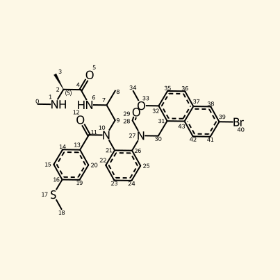 CN[C@@H](C)C(=O)NC(C)CN(C(=O)c1ccc(SC)cc1)c1ccccc1N(C=O)Cc1c(OC)ccc2cc(Br)ccc12